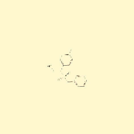 O=S(=O)(Cc1ccccc1)C(CO)c1ccc(F)cc1